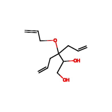 C=CCOC(CC=C)(CC=C)C(O)CO